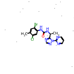 Cc1cc(Br)c(NC(=O)N[C@@H](C)c2ncnn2-c2ncccn2)cc1Cl